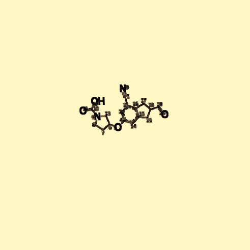 N#Cc1cc(OC2CCN(C(=O)O)C2)cc2c1CC(C=O)C2